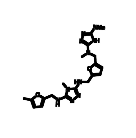 CNc1nnc(N(C)Cc2ccc(CNc3nnc(NCc4ccc(C)o4)n3C)o2)[nH]1